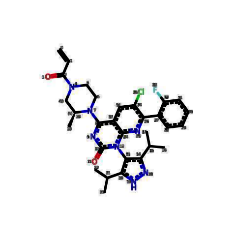 C=CC(=O)N1CCN(c2nc(=O)n(-c3c(C(C)C)n[nH]c3C(C)C)c3nc(-c4ccccc4F)c(Cl)cc23)[C@@H](C)C1